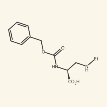 CCNC[C@H](NC(=O)OCc1ccccc1)C(=O)O